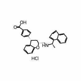 C[C@@H](NC[C@H]1C[C@@H](c2ccc(C(=O)O)cc2)c2ccccc2O1)c1cccc2ccccc12.Cl